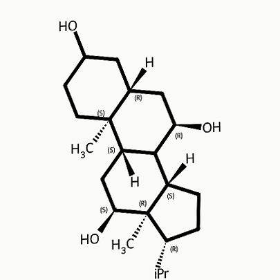 CC(C)[C@H]1CC[C@H]2C3[C@H](O)C[C@H]4CC(O)CC[C@]4(C)[C@H]3C[C@H](O)[C@]12C